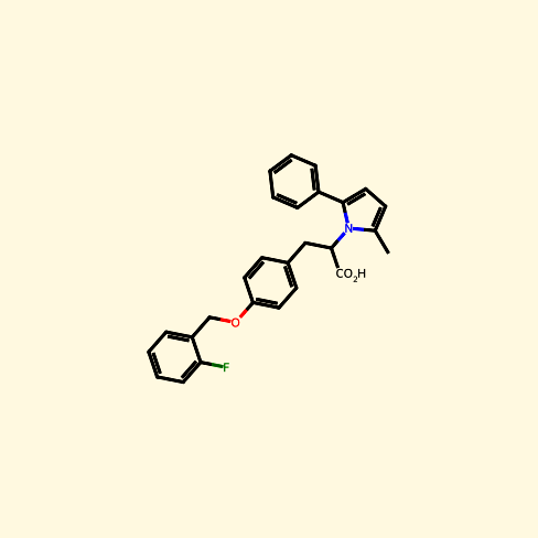 Cc1ccc(-c2ccccc2)n1C(Cc1ccc(OCc2ccccc2F)cc1)C(=O)O